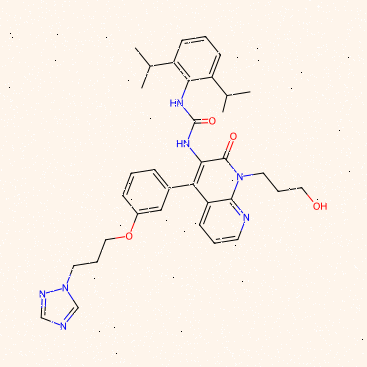 CC(C)c1cccc(C(C)C)c1NC(=O)Nc1c(-c2cccc(OCCCn3cncn3)c2)c2cccnc2n(CCCO)c1=O